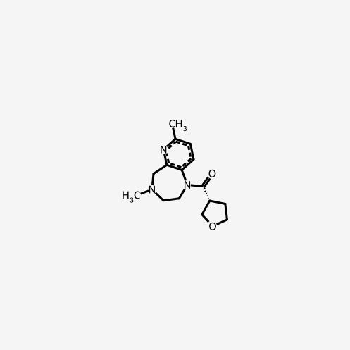 Cc1ccc2c(n1)CN(C)CCN2C(=O)[C@@H]1CCOC1